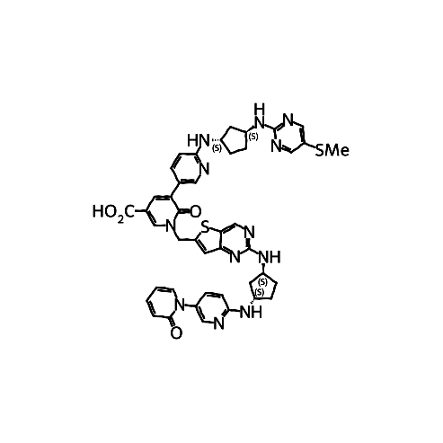 CSc1cnc(N[C@H]2CC[C@H](Nc3ccc(-c4cc(C(=O)O)cn(Cc5cc6nc(N[C@H]7CC[C@H](Nc8ccc(-n9ccccc9=O)cn8)C7)ncc6s5)c4=O)cn3)C2)nc1